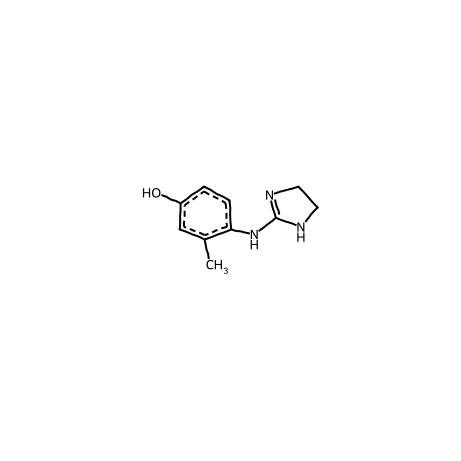 Cc1cc(O)ccc1NC1=NCCN1